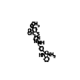 COc1ccc(Sc2ccnc(NCc3ccc(C(=O)Nc4ccccc4N)cc3)n2)cc1OC